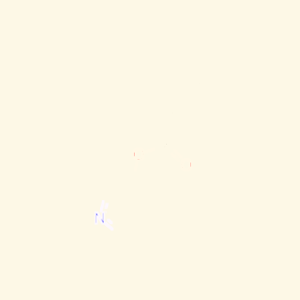 O=C(Oc1[c]nccc1)c1ccccc1